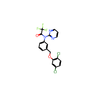 O=C(N(c1cccc(COc2cc(Cl)ccc2Cl)c1)c1ncccn1)C(F)(F)F